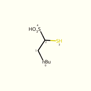 CCCCCC(S)S(=O)(=O)O